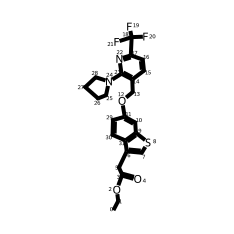 CCOC(=O)Cc1csc2cc(OCc3ccc(C(F)(F)F)nc3N3CCCC3)ccc12